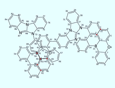 c1ccc2c(c1)Oc1ccccc1B2c1ccccc1-c1ccccc1-n1c2ccccc2n2c3cc(-c4cccc5c4Oc4ccccc4B5c4ccccc4-c4ccccc4-n4c5ccccc5c5cc(-n6c7ccccc7n7c8ccccc8nc67)ccc54)ccc3nc12